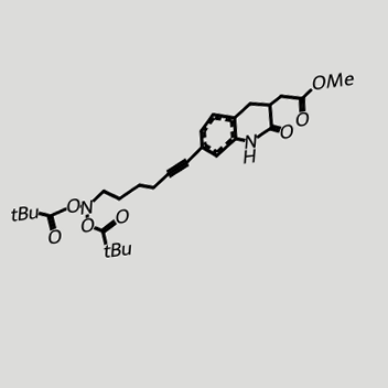 COC(=O)CC1Cc2ccc(C#CCCCCN(OC(=O)C(C)(C)C)OC(=O)C(C)(C)C)cc2NC1=O